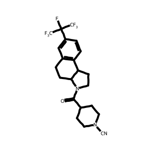 N#CN1CCC(C(=O)N2CCC3c4ccc(C(F)(C(F)(F)F)C(F)(F)F)cc4CCC32)CC1